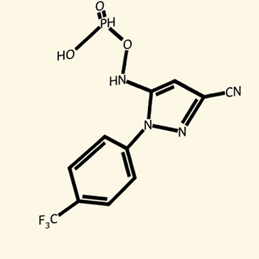 N#Cc1cc(NO[PH](=O)O)n(-c2ccc(C(F)(F)F)cc2)n1